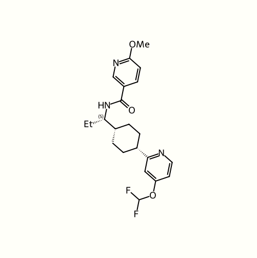 CC[C@H](NC(=O)c1ccc(OC)nc1)[C@H]1CC[C@@H](c2cc(OC(F)F)ccn2)CC1